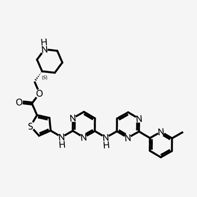 Cc1cccc(-c2nccc(Nc3ccnc(Nc4csc(C(=O)OC[C@H]5CCCNC5)c4)n3)n2)n1